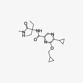 CCC(CC)(NC(=O)c1cnc(C2CC2)c(OCC2CC2)n1)C(=O)NC